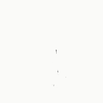 NC(=O)N(O)[C@H]1C[C@@H](c2cccc(Sc3ccccc3)c2)C1